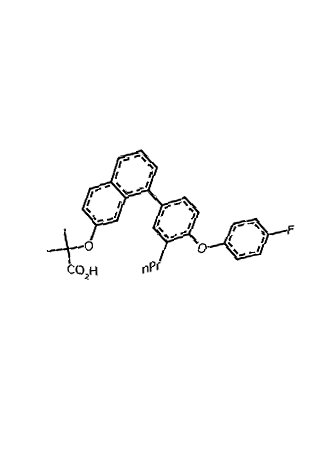 CCCc1cc(-c2cccc3ccc(OC(C)(C)C(=O)O)cc23)ccc1Oc1ccc(F)cc1